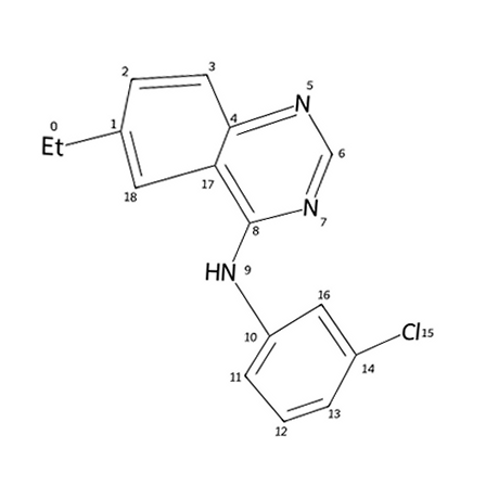 CCc1ccc2ncnc(Nc3cccc(Cl)c3)c2c1